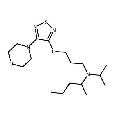 CCCC(C)N(CCCOc1nsnc1N1CCOCC1)C(C)C